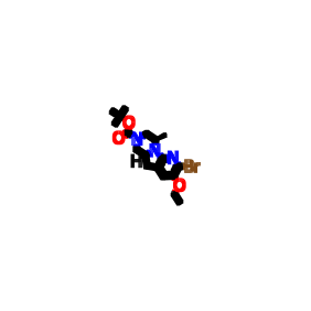 CCOc1cc2c(nc1Br)N1[C@H](C2)CN(C(=O)OC(C)(C)C)C[C@H]1C